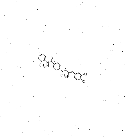 Cc1ccccc1NC(=O)c1ccc(C(C)CC(F)=Cc2ccc(Cl)c(Cl)c2)cc1